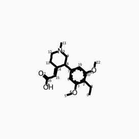 CCc1c(OC)cc(C2CN(C)CC/C2=C\C(=O)O)cc1OC